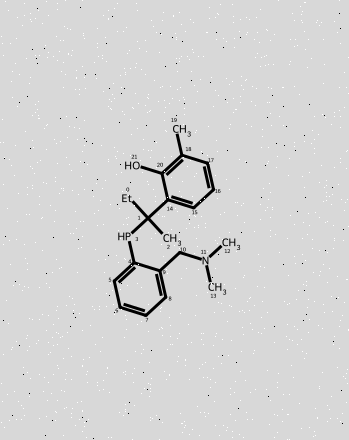 CCC(C)(Pc1ccccc1CN(C)C)c1cccc(C)c1O